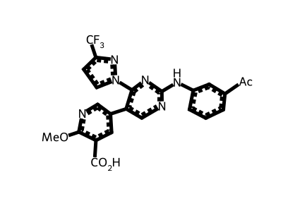 COc1ncc(-c2cnc(Nc3cccc(C(C)=O)c3)nc2-n2ccc(C(F)(F)F)n2)cc1C(=O)O